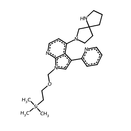 C[Si](C)(C)CCOCn1cc(-c2ccccn2)c2c(N3CCC4(CCCN4)C3)ccnc21